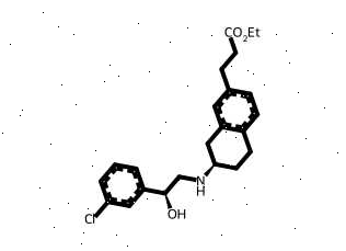 CCOC(=O)CCc1ccc2c(c1)C[C@H](NC[C@@H](O)c1cccc(Cl)c1)CC2